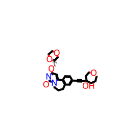 O=c1nc(OC[C@H]2COCCO2)cc2n1CCCc1cc(C#CC3(O)CCCOCC3)ccc1-2